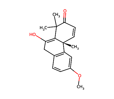 COc1ccc2c(c1)[C@@]1(C)C=CC(=O)C(C)(C)C1=C(O)C2